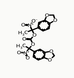 CC(OC(=O)OC(C)(c1ccc2c(c1)OCO2)[N+](=O)[O-])(c1ccc2c(c1)OCO2)[N+](=O)[O-]